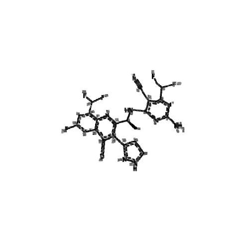 C[C@H](Nc1nc(N)nc(C(F)F)c1C#N)c1nc2c(C(F)F)cc(F)cc2c(=O)n1-c1cc[nH]n1